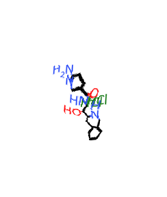 Cl.Cl.Nc1ccc(C(=O)NC[C@@H](O)[C@@H]2Cc3ccccc3CN2)cn1